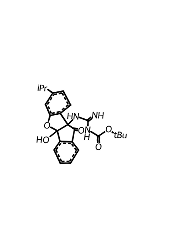 CC(C)c1ccc2c(c1)OC1(O)c3ccccc3C(=O)C21NC(=N)NC(=O)OC(C)(C)C